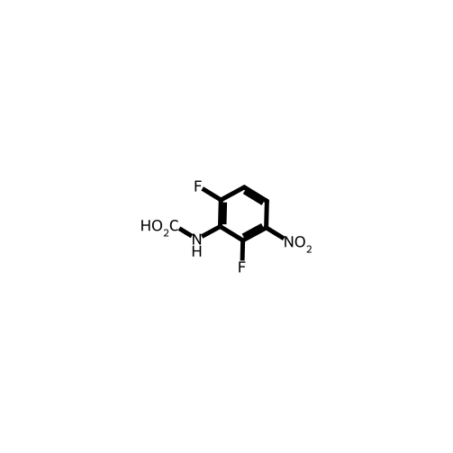 O=C(O)Nc1c(F)ccc([N+](=O)[O-])c1F